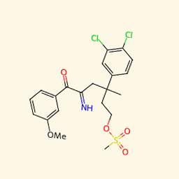 COc1cccc(C(=O)C(=N)CC(C)(CCOS(C)(=O)=O)c2ccc(Cl)c(Cl)c2)c1